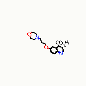 O=C(O)c1ccnc2ccc(OCCCN3CCOCC3)cc12